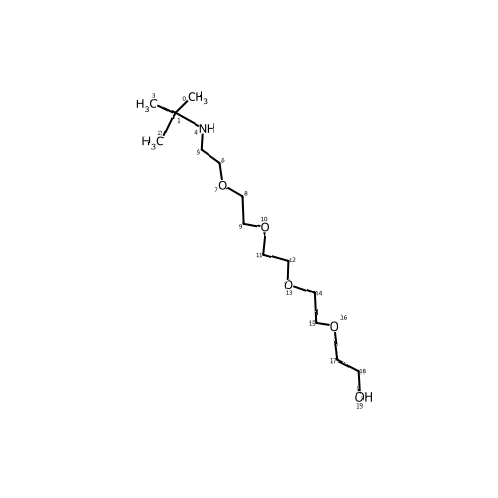 CC(C)(C)NCCOCCOCCOCCOCCO